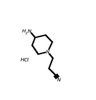 Cl.N#CCCN1CCC(N)CC1